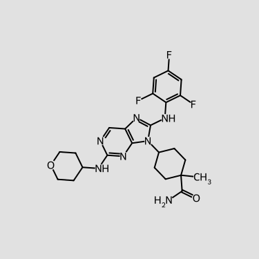 CC1(C(N)=O)CCC(n2c(Nc3c(F)cc(F)cc3F)nc3cnc(NC4CCOCC4)nc32)CC1